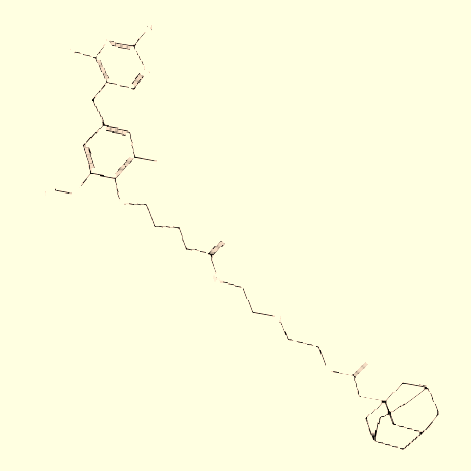 COc1cc(Cc2cnc(N)nc2N)cc(C)c1OCCCCC(=O)NCCOCCOC(=O)CC12CC3CC(CC(C3)C1)C2